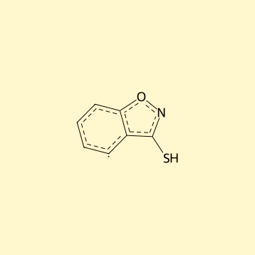 Sc1noc2ccc[c]c12